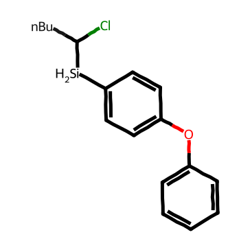 CCCCC(Cl)[SiH2]c1ccc(Oc2ccccc2)cc1